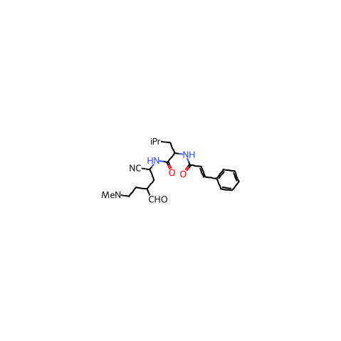 CNCCC(C=O)CC(C#N)NC(=O)C(CC(C)C)NC(=O)/C=C/c1ccccc1